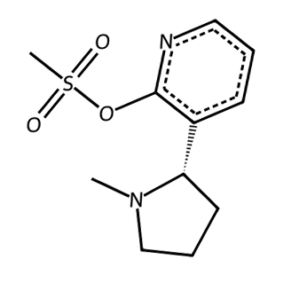 CN1CCC[C@H]1c1cccnc1OS(C)(=O)=O